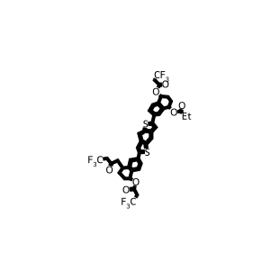 CCC(=O)OC1CCC(OC(=O)CC(F)(F)F)c2ccc(-c3cc4cc5sc(-c6ccc7c(c6)C(CC(=O)CC(F)(F)F)CCC7OC(=O)CC(F)(F)F)cc5cc4s3)cc21